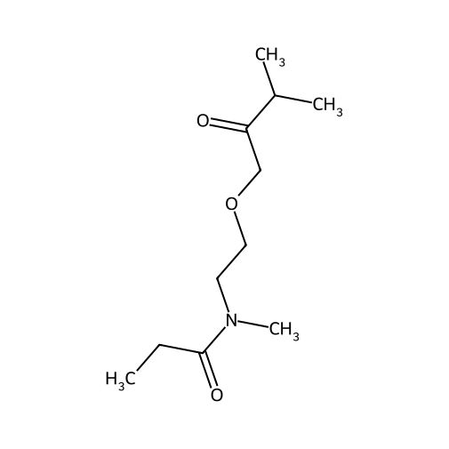 CCC(=O)N(C)CCOCC(=O)C(C)C